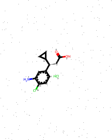 Cl.Nc1cc([C@@H](CC(=O)O)C2CC2)ccc1Cl